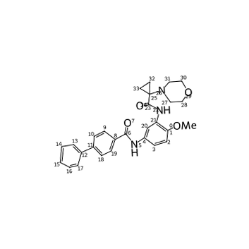 COc1ccc(NC(=O)c2ccc(-c3ccccc3)cc2)cc1NC(=O)C1(N2CCOCC2)CC1